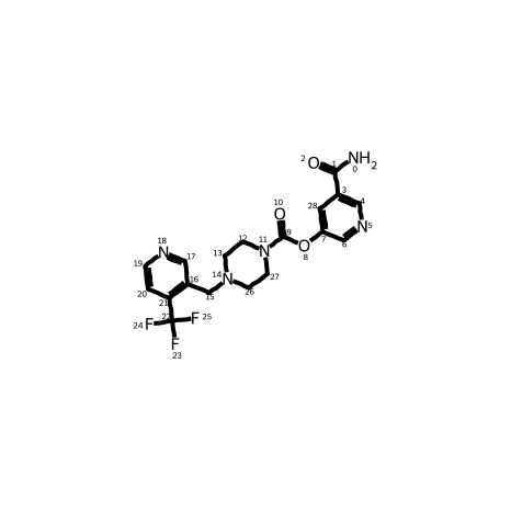 NC(=O)c1cncc(OC(=O)N2CCN(Cc3cnccc3C(F)(F)F)CC2)c1